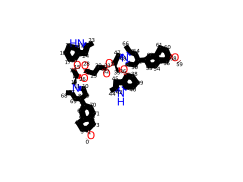 COc1ccc2cc(C3CCN(C[C@@H](COc4cccc5[nH]c(C)cc45)OC(=O)CCC(=O)O[C@H](COc4cccc5[nH]c(C)cc45)CN4CCC(c5ccc6cc(OC)ccc6c5)CC4C)C(C)C3)ccc2c1